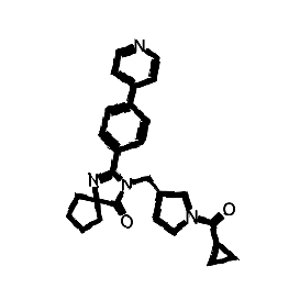 O=C(C1CC1)N1CC[C@@H](CN2C(=O)C3(CCCC3)N=C2c2ccc(-c3ccncc3)cc2)C1